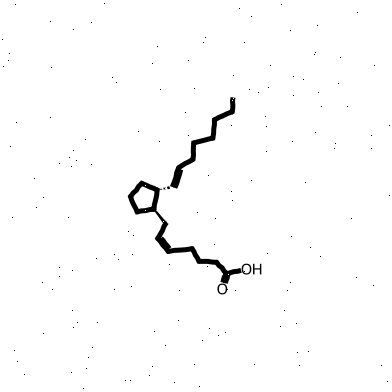 CCCCCC/C=C/[C@H]1CCC[C@@H]1C/C=C\CCCC(=O)O